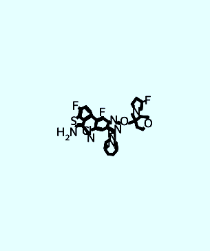 N#Cc1c(N)sc2c(F)ccc(-c3c(Cl)cc4c(N5CC6CCC(C5)N6)nc(OCC5(CN6CC[C@@H](F)C6)CCOCC5)nc4c3F)c12